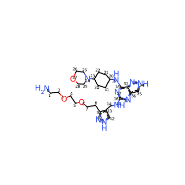 NCCOCCOCCc1n[nH]cc1CNc1nc(NC2CCC(N3CCOCC3)CC2)c2n[nH]cc2n1